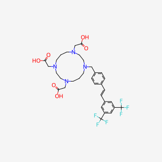 O=C(O)CN1CCCN(CC(=O)O)CCN(Cc2ccc(C=Cc3cc(C(F)(F)F)cc(C(F)(F)F)c3)cc2)CCCN(CC(=O)O)CC1